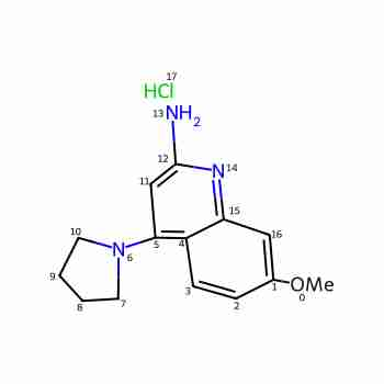 COc1ccc2c(N3CCCC3)cc(N)nc2c1.Cl